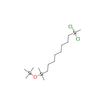 C[Si](Cl)(Cl)CCCCCCCC[Si](C)(C)O[Si](C)(C)C